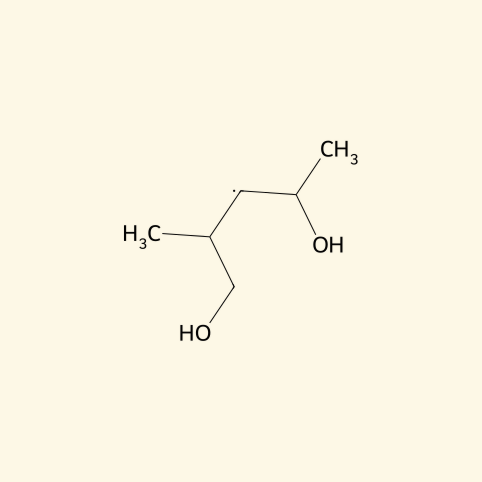 CC(O)[CH]C(C)CO